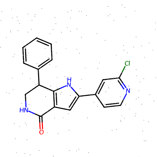 O=C1NCC(c2ccccc2)c2[nH]c(-c3ccnc(Cl)c3)cc21